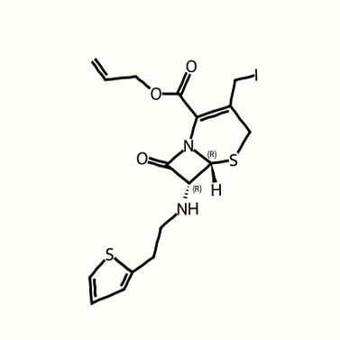 C=CCOC(=O)C1=C(CI)CS[C@@H]2[C@H](NCCc3cccs3)C(=O)N12